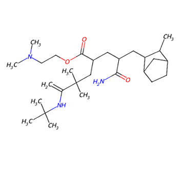 C=C(NC(C)(C)C)C(C)(C)CC(CC(CC1C2CCC(C2)C1C)C(N)=O)C(=O)OCCN(C)C